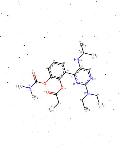 CCC(=O)Oc1c(OC(=O)N(C)C)cccc1-c1nc(N(CC)CC)ncc1NC(C)C